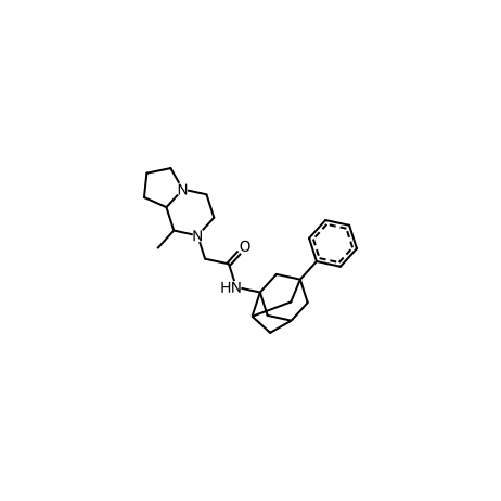 CC1C2CCCN2CCN1CC(=O)NC12CC3CC1CC(c1ccccc1)(C3)C2